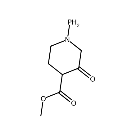 COC(=O)C1CCN(P)CC1=O